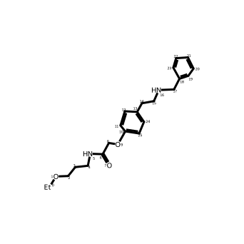 CCOCCCNC(=O)COc1ccc(CCNCc2ccccc2)cc1